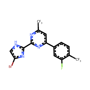 Fc1cc(-c2cc(C(F)(F)F)nc(-c3nc(Br)c[nH]3)n2)ccc1C(F)(F)F